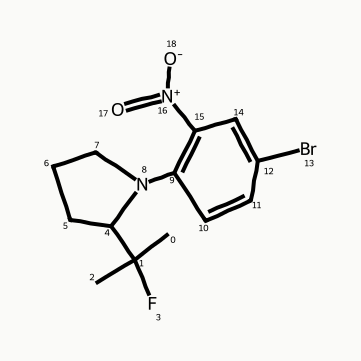 CC(C)(F)C1CCCN1c1ccc(Br)cc1[N+](=O)[O-]